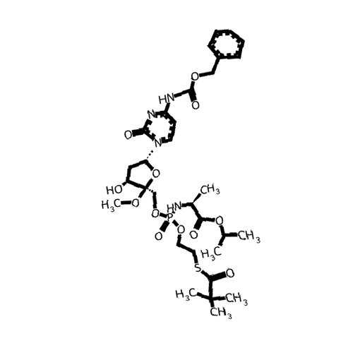 CO[C@]1(COP(=O)(N[C@@H](C)C(=O)OC(C)C)OCCSC(=O)C(C)(C)C)O[C@@H](n2ccc(NC(=O)OCc3ccccc3)nc2=O)C[C@@H]1O